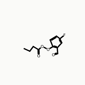 CCCC(=O)OOc1ccc(F)cc1C=O